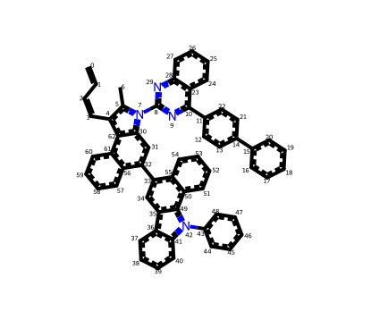 C=C/C=C\c1c(C)n(-c2nc(-c3ccc(-c4ccccc4)cc3)c3ccccc3n2)c2cc(-c3cc4c5ccccc5n(-c5ccccc5)c4c4ccccc34)c3ccccc3c12